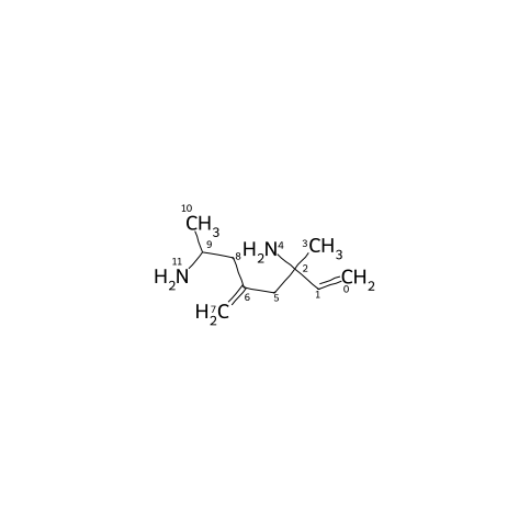 C=CC(C)(N)CC(=C)CC(C)N